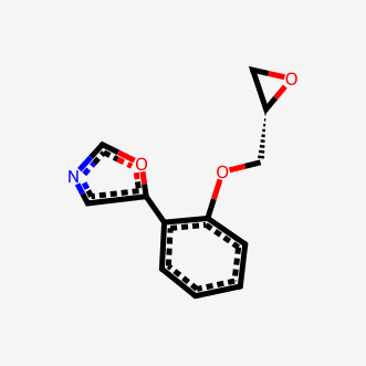 c1ccc(-c2cnco2)c(OC[C@@H]2CO2)c1